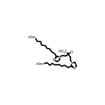 CCCCCCCCCCCCCCCCCCC1=NCCN1CCC(Cl)(CCN1CCN=C1CCCCCCCCCCCCCCCCCC)C(=O)O